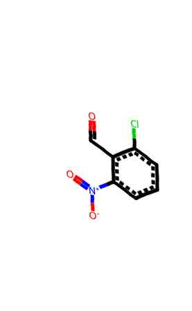 O=Cc1c(Cl)cccc1[N+](=O)[O-]